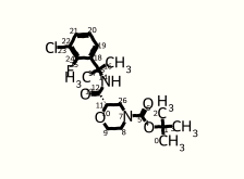 CC(C)(C)OC(=O)N1CCO[C@H](C(=O)NC(C)(C)c2cccc(Cl)c2F)C1